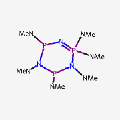 CNN1P(NC)N=P(NC)(NC)N(NC)P1NC